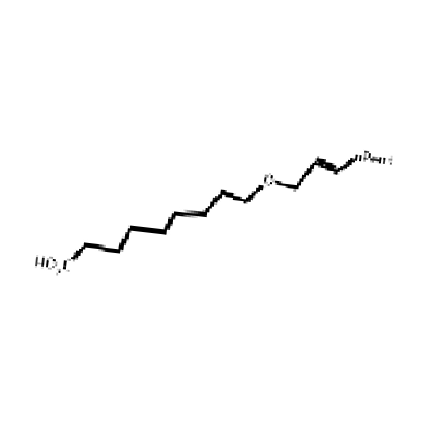 CCCCCC=CCOCCCCCCCCC(=O)O